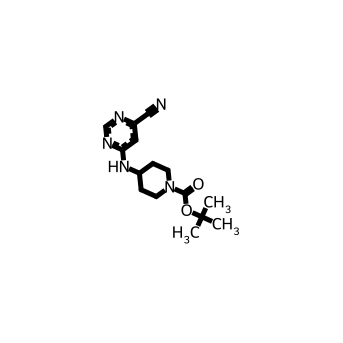 CC(C)(C)OC(=O)N1CCC(Nc2cc(C#N)ncn2)CC1